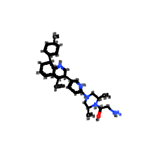 COc1c(-c2ccc(N3CC(C)N(C(=O)CN)[C@H](C)C3)nc2)cnc2c(-c3ccc(C#N)cc3)cccc12